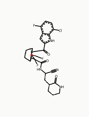 N#CC(CC1CCCNC1=O)NC(=O)C1C2CCC(CC2(F)F)N1C(=O)c1cc2c(F)ccc(Cl)c2[nH]1